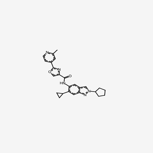 Cc1cc(-c2nc(C(=O)Nc3cc4cn(C5CCCC5)nc4cc3C3CC3)co2)ccn1